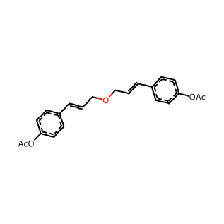 CC(=O)Oc1ccc(C=CCOCC=Cc2ccc(OC(C)=O)cc2)cc1